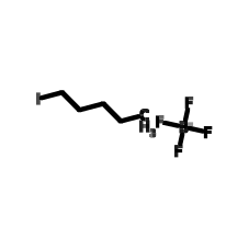 CCCCCI.F[B-](F)(F)F